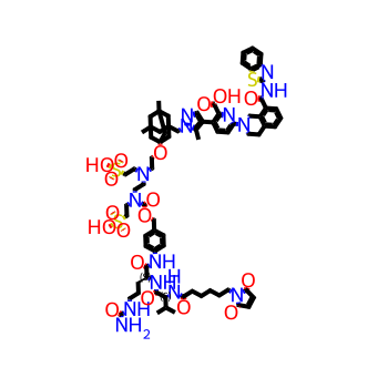 Cc1c(-c2ccc(N3CCc4cccc(C(=O)Nc5nc6ccccc6s5)c4C3)nc2C(=O)O)cnn1CC12CC3(C)CC(C)(C1)CC(OCCN(CCN(CCS(=O)(=O)O)C(=O)OCc1ccc(NC(=O)[C@H](CCCNC(N)=O)NC(=O)[C@@H](NC(=O)CCCCCN4C(=O)C=CC4=O)C(C)C)cc1)CCS(=O)(=O)O)(C3)C2